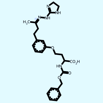 C/C(CCc1cccc(OCCC(NC(=O)OCc2ccccc2)C(=O)O)c1)=N/NC1=NCCN1